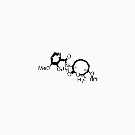 CCCO[C@@H]1CCCC[C@H](NC(=O)c2nccc(OC)c2O)C(=O)O[C@H]1C